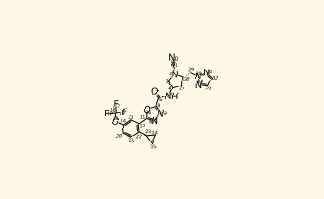 N#CN1CC(NC(=O)c2nnc(-c3cc(OC(F)(F)F)ccc3C3CC3)o2)C[C@H]1Cn1nccn1